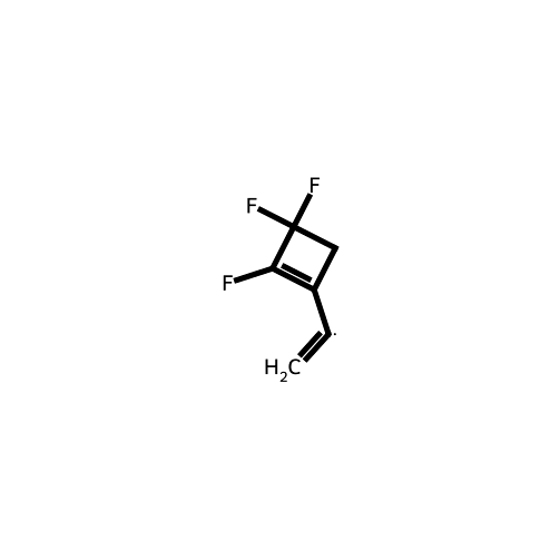 C=[C]C1=C(F)C(F)(F)C1